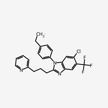 [CH2]Cc1ccc(-n2c(CCCc3ccccn3)nc3cc(C(F)(F)F)c(Cl)cc32)cc1